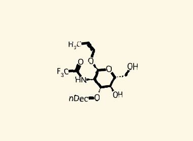 C/C=C\O[C@H]1O[C@H](CO)[C@@H](O)[C@H](OCCCCCCCCCC)[C@H]1NC(=O)C(F)(F)F